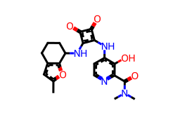 Cc1cc2c(o1)C(Nc1c(Nc3ccnc(C(=O)N(C)C)c3O)c(=O)c1=O)CCC2